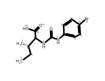 CC[C@H](C)C(NC(=O)Nc1ccc(Br)cc1)C(=O)O